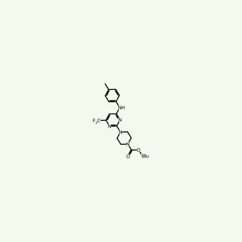 Cc1ccc(Nc2cc(C(F)(F)F)nc(N3CCN(C(=O)OC(C)(C)C)CC3)n2)cc1